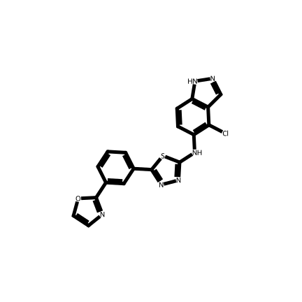 Clc1c(Nc2nnc(-c3cccc(-c4ncco4)c3)s2)ccc2[nH]ncc12